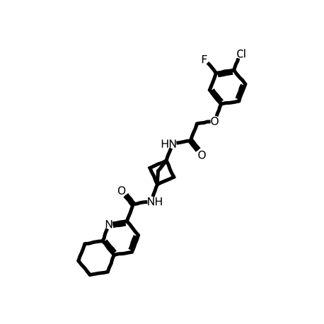 O=C(COc1ccc(Cl)c(F)c1)NC12CC(NC(=O)c3ccc4c(n3)CCCC4)(C1)C2